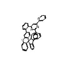 c1ccc(-c2nc(-c3ccccn3)cc(-c3ccccc3-c3ccc4c(c3)Oc3ccccc3C43c4ccccc4-c4ccccc43)n2)cc1